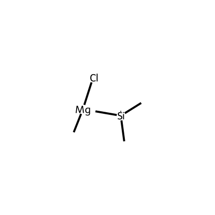 C[Si](C)C.[CH3][Mg][Cl]